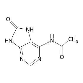 CC(=O)Nc1ncnc2[nH]c(=O)[nH]c12